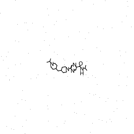 CC(C)NC(=O)c1cnc(N2CCC(CC3CCN(C(C)C)CC3)CC2)cn1